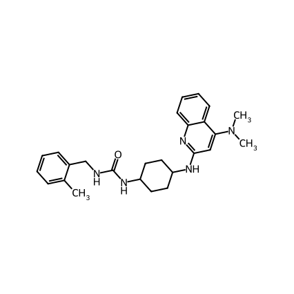 Cc1ccccc1CNC(=O)NC1CCC(Nc2cc(N(C)C)c3ccccc3n2)CC1